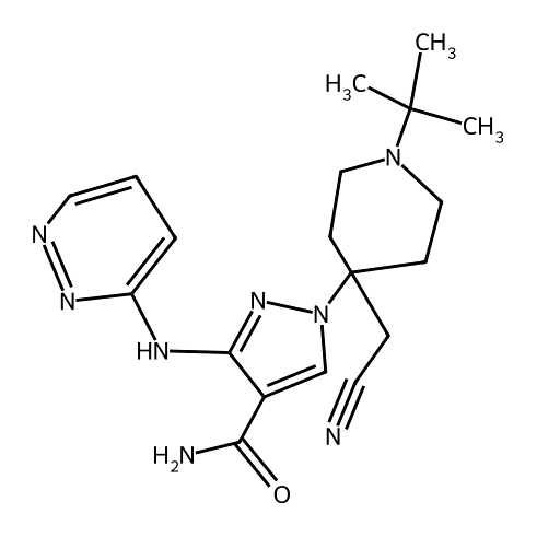 CC(C)(C)N1CCC(CC#N)(n2cc(C(N)=O)c(Nc3cccnn3)n2)CC1